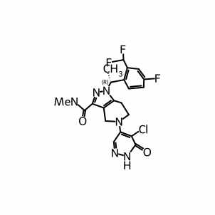 CNC(=O)c1nn([C@H](C)c2ccc(F)cc2C(F)F)c2c1CN(c1cn[nH]c(=O)c1Cl)CC2